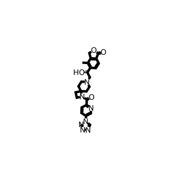 Cc1c([C@@H](O)CN2CCC3(CC2)CCN3C(=O)c2ccc(-n3cnnn3)cn2)ccc2c1COC2=O